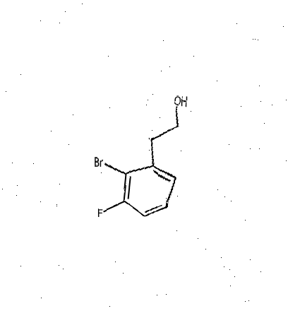 OC[CH]c1cccc(F)c1Br